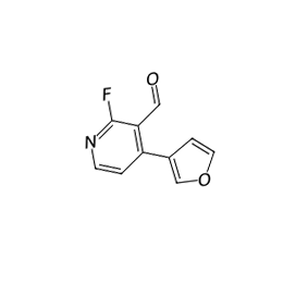 O=Cc1c(-c2ccoc2)ccnc1F